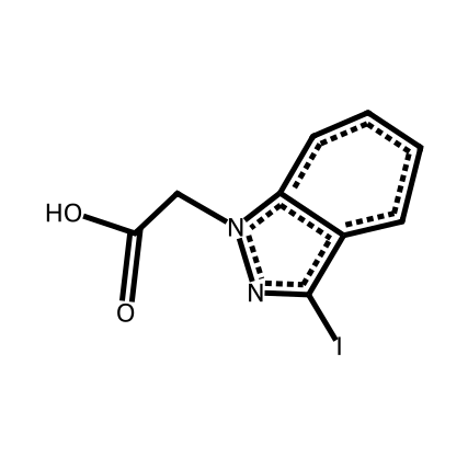 O=C(O)Cn1nc(I)c2ccccc21